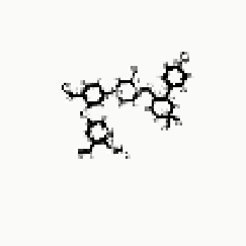 C=Cc1cc(Oc2cc(N3CCN(CC4=C(c5ccc(Cl)cc5)CC(C)(C)CC4)[C@H](C)C3)ccc2C=O)cnc1N